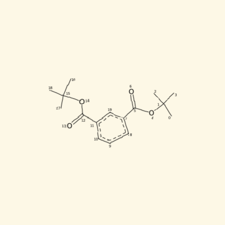 CC(C)(C)OC(=O)c1[c]ccc(C(=O)OC(C)(C)C)c1